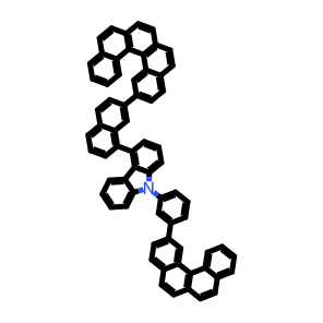 c1cc(-c2ccc3ccc4ccc5ccccc5c4c3c2)cc(-n2c3ccccc3c3c(-c4cccc5ccc(-c6ccc7ccc8ccc9ccc%10ccccc%10c9c8c7c6)cc45)cccc32)c1